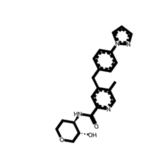 Cc1cnc(C(=O)N[C@@H]2CCOC[C@H]2O)cc1Cc1ccc(-n2cccn2)cc1